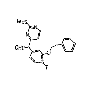 CSc1nccc(C(C=O)c2ccc(F)c(OCc3ccccc3)c2)n1